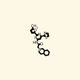 Cc1ccc(-c2nc(NC(=O)CN3CCC4CCCCC4C3)cc(-c3nccs3)n2)o1